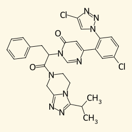 CC(C)c1nnc2n1CCN(C(=O)C(Cc1ccccc1)n1cnc(-c3cc(Cl)ccc3-n3cc(Cl)nn3)cc1=O)C2